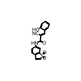 N#C/C(=C\c1ccccc1O)C(=O)Nc1ccc2c(c1)S(=O)(=O)C=C2